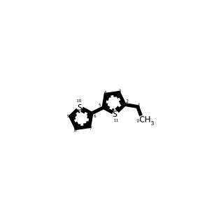 CCc1ccc(-c2cc[c]s2)s1